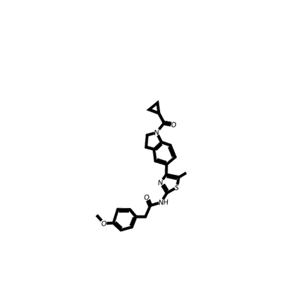 COc1ccc(CC(=O)Nc2nc(-c3ccc4c(c3)CCN4C(=O)C3CC3)c(C)s2)cc1